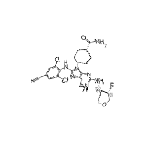 N#Cc1cc(Cl)c(Nc2nc3cnc(N[C@H]4CCOC[C@H]4F)nc3n2[C@H]2CC[C@@H](C(N)=O)CC2)c(Cl)c1